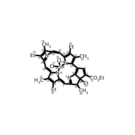 CCOC(=O)C1=CC2=C3N=C(C=c4c(CC)c(C)c5[n]4[Sn]([Cl])([Cl])[n]4c(c(CC)c(C)c42)C=C2N=C(C=5)C(CC)=C2C)C(C)C13CC